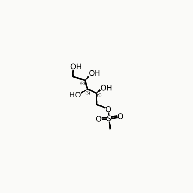 CS(=O)(=O)OC[C@H](O)[C@@H](O)[C@H](O)CO